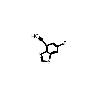 C#Cc1cc(F)cc2scnc12